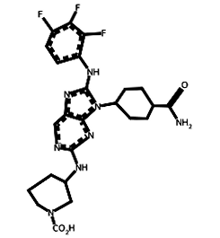 NC(=O)C1CCC(n2c(Nc3ccc(F)c(F)c3F)nc3cnc(NC4CCCN(C(=O)O)C4)nc32)CC1